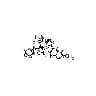 Cc1ccc2ncc(-c3cnn4c(N)c(Br)c(C(C)NC5CCOCC5)nc34)cc2c1